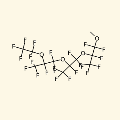 COC(F)(F)C(F)(OC(F)(F)C(F)(OC(F)(F)C(F)(OC(F)(F)C(F)(F)F)C(F)(F)F)C(F)(F)F)C(F)(F)F